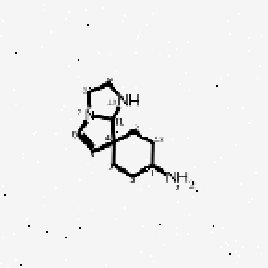 NC1CCC2(C=CN3CCNC32)CC1